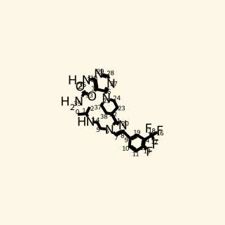 CC(C)NCCn1cc(-c2ccc(F)c(C(F)(F)F)c2)nc1C1CCN(c2ncnc(N)c2OC(N)=O)CC1